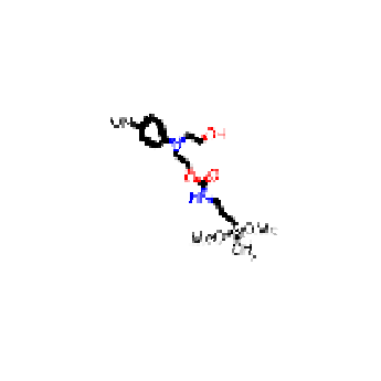 CO[Si](C)(CCCNC(=O)OCCN(CCO)c1ccc(N=O)cc1)OC